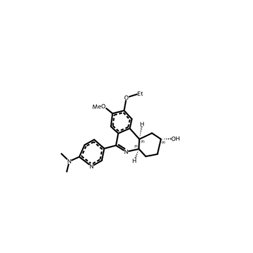 CCOc1cc2c(cc1OC)C(c1ccc(N(C)C)nc1)=N[C@@H]1CC[C@@H](O)C[C@H]21